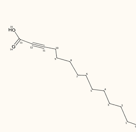 CCCCCCCCCCCC#CC(=O)O